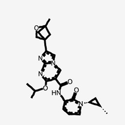 CC(C)Oc1nc2nc(C34COC(C)(C3)C4)cn2cc1C(=O)Nc1cccn([C@@H]2C[C@@H]2C)c1=O